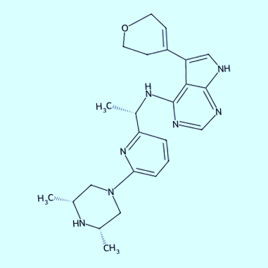 C[C@@H]1CN(c2cccc([C@H](C)Nc3ncnc4[nH]cc(C5=CCOCC5)c34)n2)C[C@H](C)N1